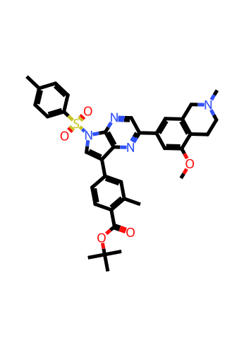 COc1cc(-c2cnc3c(n2)c(-c2ccc(C(=O)OC(C)(C)C)c(C)c2)cn3S(=O)(=O)c2ccc(C)cc2)cc2c1CCN(C)C2